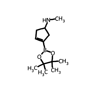 CNC1CC=C(B2OC(C)(C)C(C)(C)O2)C1